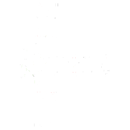 CC(=O)c1ccc(S(=O)(=O)c2ccc(S(c3ccc(S(=O)(=O)c4ccc(C(C)=O)cc4)cc3)(c3ccc(S(=O)(=O)c4ccc(C(C)=O)cc4)cc3)C(SC(F)(F)F)(SC(F)(F)F)SC(F)(F)F)cc2)cc1